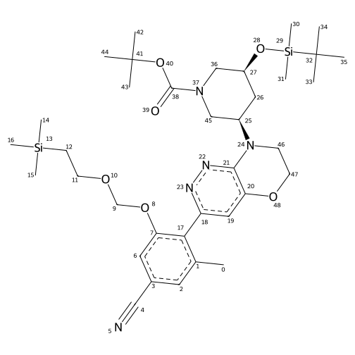 Cc1cc(C#N)cc(OCOCC[Si](C)(C)C)c1-c1cc2c(nn1)N([C@@H]1C[C@H](O[Si](C)(C)C(C)(C)C)CN(C(=O)OC(C)(C)C)C1)CCO2